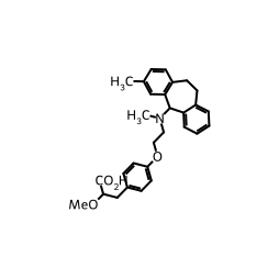 COC(Cc1ccc(OCCN(C)C2c3ccccc3CCc3ccc(C)cc32)cc1)C(=O)O